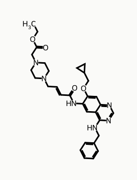 CCOC(=O)CN1CCN(CC=CC(=O)Nc2cc3c(NCc4ccccc4)ncnc3cc2OCC2CC2)CC1